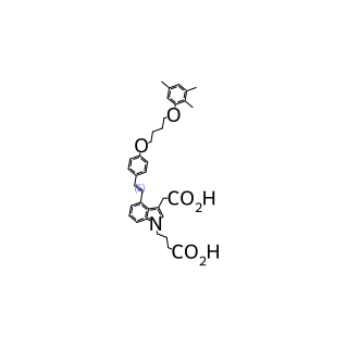 Cc1cc(C)c(C)c(OCCCCOc2ccc(/C=C/c3cccc4c3c(CC(=O)O)cn4CCCC(=O)O)cc2)c1